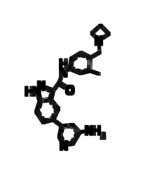 Cc1cc(NC(=O)c2n[nH]c3ccc(-c4cncc(N)c4)cc23)ccc1CN1CCC1